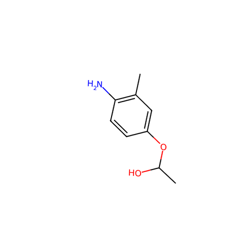 Cc1cc(OC(C)O)ccc1N